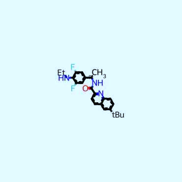 CCNc1c(F)cc([C@@H](C)NC(=O)c2ccc3cc(C(C)(C)C)ccc3n2)cc1F